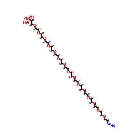 [N-]=[N+]=NCCOCCOCCOCCOCCOCCOCCOCCOCCOCCOCCOCCOCCOCCOCCOCCP(=O)(O)O